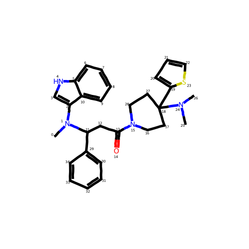 CN(c1c[nH]c2ccccc12)C(CC(=O)N1CCC(c2cccs2)(N(C)C)CC1)c1ccccc1